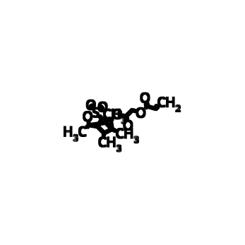 C=CC(=O)OCC(=O)OC1C2C3C(C)C1(C)C(C)C3(C)OS2(=O)=O